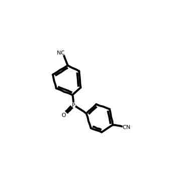 N#Cc1ccc([P](=O)c2ccc(C#N)cc2)cc1